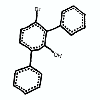 Oc1c(-c2ccccc2)ccc(Br)c1-c1ccccc1